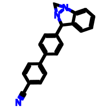 N#Cc1ccc(-c2ccc(C3c4ccccc4N4CN34)cc2)cc1